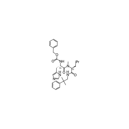 CC(C)C[C@@H](C(=O)NCC(C)(C)c1ccccc1)N(C)C(=O)[C@H](Cc1cnc[nH]1)NC(=O)OCc1ccccc1